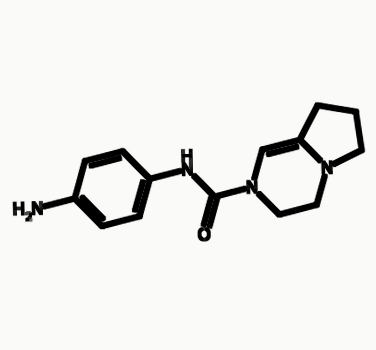 Nc1ccc(NC(=O)N2C=C3CCCN3CC2)cc1